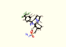 NS(=O)(=O)Cc1ccc2c(c1)nc(-c1ccc(C(F)(F)F)cc1)c1cccn12